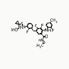 CONC(=O)c1cc(Cc2cccc(NSC3(CO)CC3)c2F)c(F)c(F)c1Nc1ccc(C)cc1F